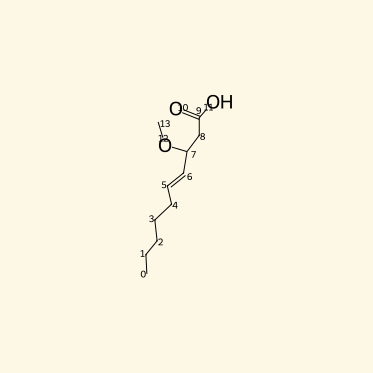 CCCCC/C=C/C(CC(=O)O)OC